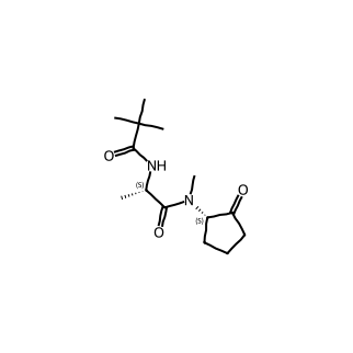 C[C@H](NC(=O)C(C)(C)C)C(=O)N(C)[C@H]1CCCC1=O